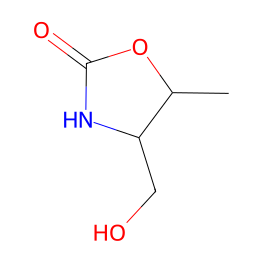 CC1OC(=O)NC1CO